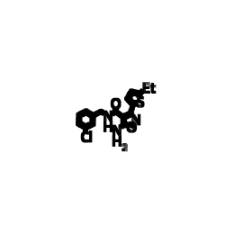 CCc1ccc(-c2noc(N)c2C(=O)NCc2cccc(Cl)c2)s1